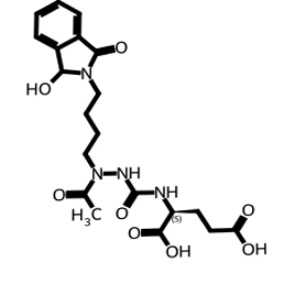 CC(=O)N(CCCCN1C(=O)c2ccccc2C1O)NC(=O)N[C@@H](CCC(=O)O)C(=O)O